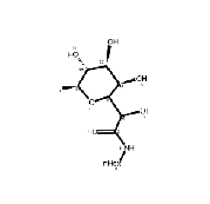 CCCCCCNC(=O)C(O)C1O[C@@H](C)[C@H](O)[C@@H](O)[C@H]1O